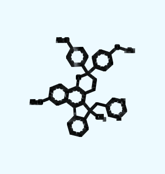 CCCCOc1ccc(C2(c3ccc(OC)cc3)C=Cc3c4c(c5cc(OC)ccc5c3O2)-c2ccccc2C4(C)Cc2cncnc2)cc1